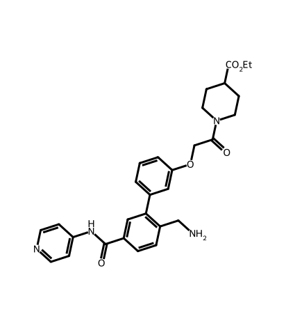 CCOC(=O)C1CCN(C(=O)COc2cccc(-c3cc(C(=O)Nc4ccncc4)ccc3CN)c2)CC1